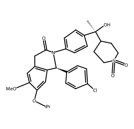 COc1cc2c(cc1OC(C)C)[C@H](c1ccc(Cl)cc1)N(c1ccc([C@@](C)(O)C3CCS(=O)(=O)CC3)cc1)C(=O)C2